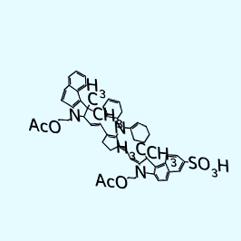 CC(=O)OCCN1/C(=C/C=C2\CCC(/C=C/C3N(CCOC(C)=O)c4ccc5ccccc5c4C3(C)C)=C2N(C2=CCCCC2)C2C=CC=CC2)C(C)(C)c2c1ccc1cc(S(=O)(=O)O)ccc21